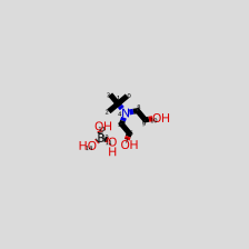 CC(C)(C)N(CCO)CCO.OB(O)O